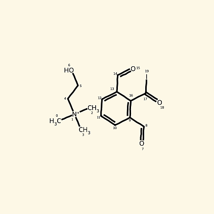 C[N+](C)(C)CCO.O=Cc1cccc(C=O)c1C(=O)I